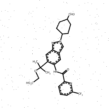 CC(C)(OCC(=O)O)c1cc2nn(C3CCC(C=O)CC3)cc2cc1NC(=O)c1cccc(C(F)(F)F)n1